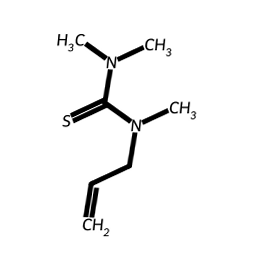 C=CCN(C)C(=S)N(C)C